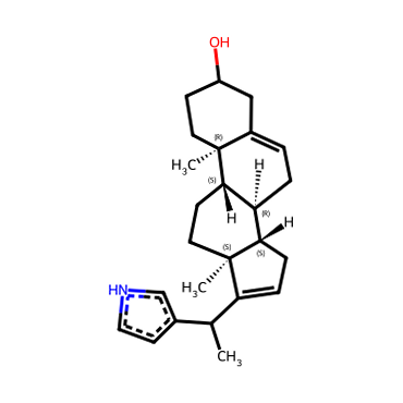 CC(C1=CC[C@H]2[C@@H]3CC=C4CC(O)CC[C@]4(C)[C@H]3CC[C@]12C)c1cc[nH]c1